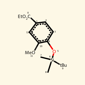 CCOC(=O)c1ccc(O[Si](C)(C)C(C)(C)C)c(OC)c1